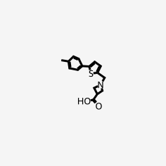 Cc1ccc(-c2ccc(CN3CC(C(=O)O)C3)s2)cc1